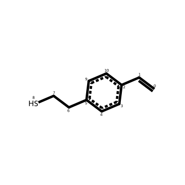 C=Cc1ccc(CCS)cc1